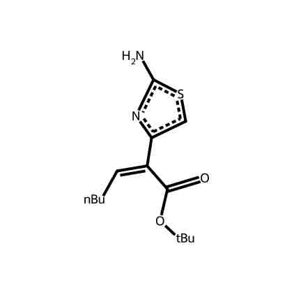 CCCC/C=C(\C(=O)OC(C)(C)C)c1csc(N)n1